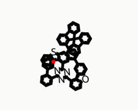 c1ccc(-c2ccccc2-c2nc(-c3cccc4oc5ccc(-c6ccc(-c7cccc8c7C7(c9ccccc9-c9ccccc97)c7ccccc7-8)cc6)cc5c34)nc(-c3cccc4sc5ccccc5c34)n2)cc1